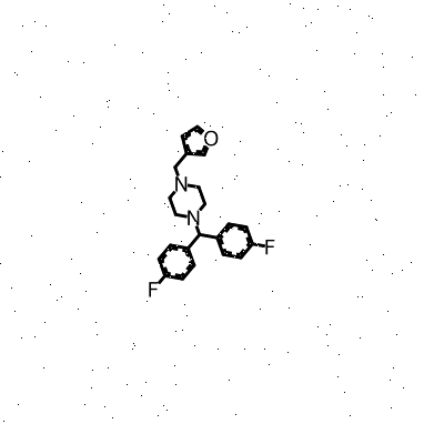 Fc1ccc(C(c2ccc(F)cc2)N2CCN(Cc3ccoc3)CC2)cc1